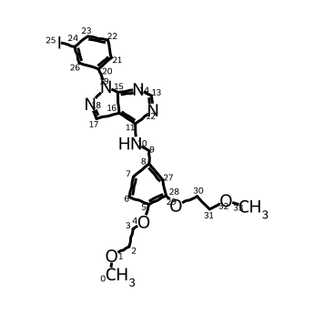 COCCOc1ccc(CNc2ncnc3c2cnn3-c2cccc(I)c2)cc1OCCOC